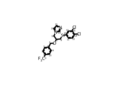 FC(F)(F)c1ccc(COC(CSc2ccc(Cl)c(Cl)c2)Cn2ccnc2)cc1